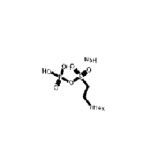 CCCCCCCCS(=O)(=O)OP(=O)(O)O.[NaH]